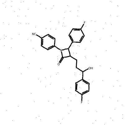 N#Cc1ccc(N2C(=O)C(CCC(O)c3ccc(F)cc3)C2c2ccc(F)cc2)cc1